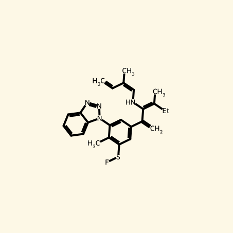 C=C/C(C)=C\N/C(C(=C)c1cc(SF)c(C)c(-n2nnc3ccccc32)c1)=C(\C)CC